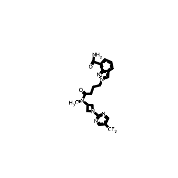 CN(C(=O)CCCn1cc2cccc(C(N)=O)c2n1)C1CN(c2ncc(C(F)(F)F)cn2)C1